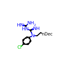 CCCCCCCCCCCCN(C(=N)NC(=N)N)c1ccc(Cl)cc1